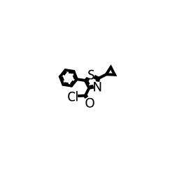 O=C(Cl)c1nc(C2CC2)sc1-c1ccccc1